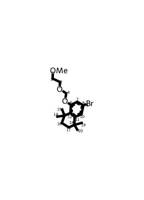 COCCOCOc1cc(Br)cc2c1C(C)(C)CCC2(C)C